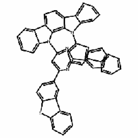 c1ccc(-c2cccc(-n3c4ccccc4c4ccc5c6ccccc6n(-c6cc(-c7ccc8sc9ccccc9c8c7)nc(-c7ccccc7)n6)c5c43)c2)cc1